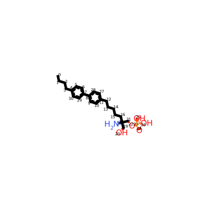 CCCCc1ccc(-c2ccc(CCCCCC(N)(CO)COP(=O)(O)O)cc2)cc1